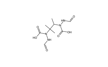 CC(N(NC=O)C(=O)O)C(C)(C)N(NC=O)C(=O)O